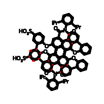 CC(C)c1cccc(C(C)C)c1N1C(=O)c2cc(Oc3ccccc3-c3ccccc3)c3c4c(Oc5ccccc5-c5ccccc5)cc5c6c(cc(Oc7ccc(S(=O)(=O)O)cc7-c7ccccc7)c(c7c(Oc8ccc(S(=O)(=O)O)cc8-c8ccccc8)cc(c2c37)C1=O)c64)C(=O)N(c1c(C(C)C)cccc1C(C)C)C5=O